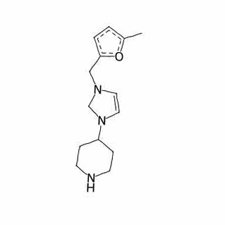 Cc1ccc(CN2C=CN(C3CCNCC3)C2)o1